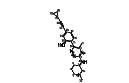 Cc1nc(N[C@@H]2CCCN(C)C2)nnc1-c1ccc(C#CC2CC2)cc1O